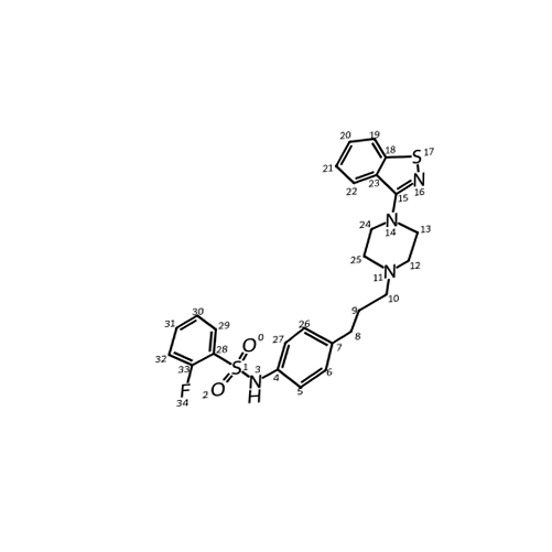 O=S(=O)(Nc1ccc(CCCN2CCN(c3nsc4ccccc34)CC2)cc1)c1ccccc1F